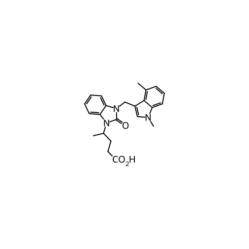 Cc1cccc2c1c(Cn1c(=O)n(C(C)CCC(=O)O)c3ccccc31)cn2C